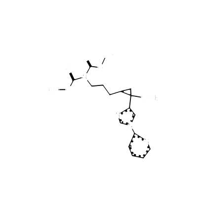 CCOC(=O)C1(c2cn(-c3ccccn3)cn2)CC1CCCN(C(=O)OC(C)(C)C)C(=O)OC(C)(C)C